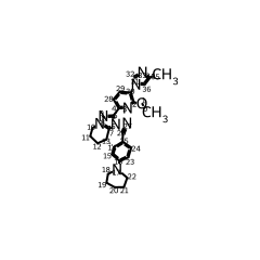 COc1nc(-c2nc3n(n2)CCC[C@H]3c2cc(N3CCCCC3)ccc2C#N)ccc1-n1cnc(C)c1